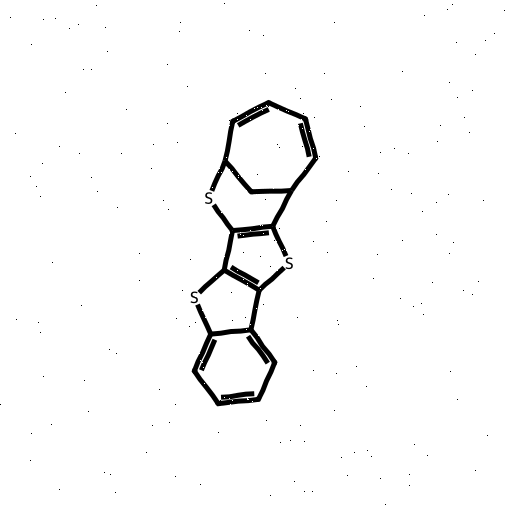 C1=CC2CC(C=C1)c1sc3c(sc4ccccc43)c1S2